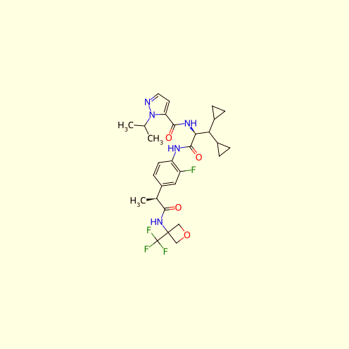 CC(C)n1nccc1C(=O)N[C@H](C(=O)Nc1ccc([C@H](C)C(=O)NC2(C(F)(F)F)COC2)cc1F)C(C1CC1)C1CC1